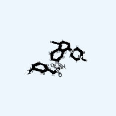 Cc1ccc(N2CCN(C)CC2)c2c1CC[C@@H](NS(=O)(=O)Cc1cccc(Cl)c1)C2